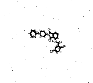 O=C(Nc1cccc2c1C(=O)N(C1CCN(c3ccccn3)CC1)C2=O)C1=CC(Cl)=CCC1=S